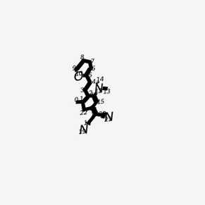 CC1=C(C=CC2=CCC=CO2)C(N(C)C)=CC(=C(C#N)C#N)C1